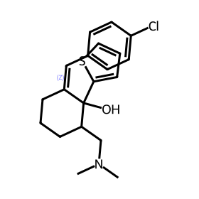 CN(C)CC1CCC/C(=C/c2ccc(Cl)cc2)C1(O)c1cccs1